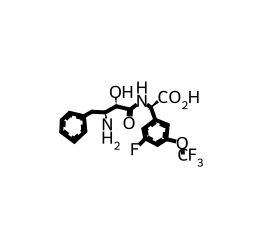 N[C@H](Cc1ccccc1)[C@H](O)C(=O)N[C@@H](C(=O)O)c1cc(F)cc(OC(F)(F)F)c1